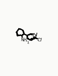 NC1CCCCC1c1ccc(Cl)nc1